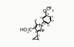 Cc1c(C(=O)O)c(C2CC2)nn1-c1cccc(OC(F)(F)F)c1